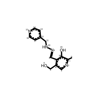 Cc1ncc(CO)c(C=NNCc2ccncc2)c1O